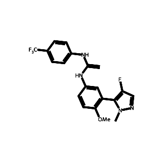 C=C(Nc1ccc(C(F)(F)F)cc1)Nc1ccc(OC)c(-c2c(F)cnn2C)c1